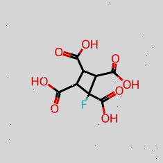 O=C(O)C1C(C(=O)O)C(F)(C(=O)O)C1C(=O)O